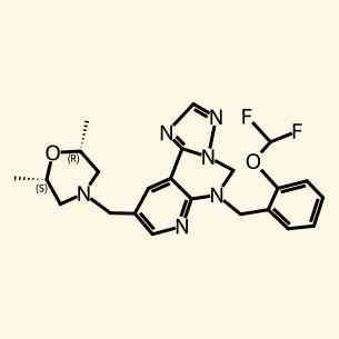 C[C@@H]1CN(Cc2cnc3c(c2)-c2ncnn2CN3Cc2ccccc2OC(F)F)C[C@H](C)O1